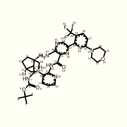 CC(C)(C)OC(=O)NC[C@@H]1[C@@H]2CC[C@H]1CN(c1cccnc1NC(=O)c1nc(-c3nc(N4CCOCC4)ccc3C(F)(F)F)cnc1N)C2